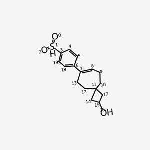 O=[SH](=O)c1ccc(C2=CCCC3(CC2)CC(O)C3)cc1